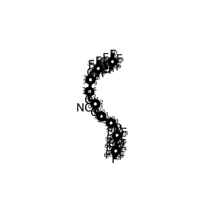 N#Cc1c(Oc2ccc(-c3ccc(Oc4c(F)c(F)c(S(=O)(=O)c5c(F)c(F)c(F)c(F)c5F)c(F)c4F)cc3)cc2)cccc1Oc1ccc(-c2ccc(Oc3c(F)c(F)c(S(=O)(=O)c4c(F)c(F)c(F)c(F)c4F)c(F)c3F)cc2)cc1